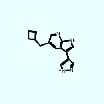 c1nc2[nH]cc(-c3cn[nH]c3)c2cc1CC1CCC1